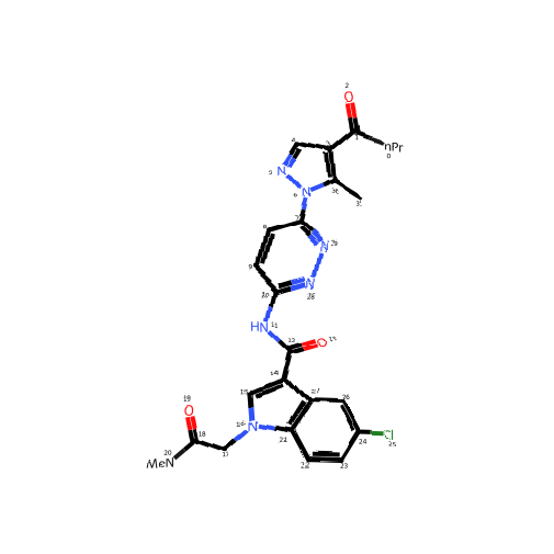 CCCC(=O)c1cnn(-c2ccc(NC(=O)c3cn(CC(=O)NC)c4ccc(Cl)cc34)nn2)c1C